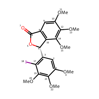 COc1cc([C@@H]2OC(=O)c3cc(OC)c(OC)c(OC)c32)c(I)c(OC)c1OC